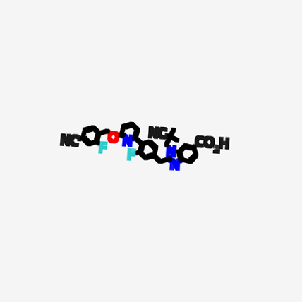 CC(C)(C#N)Cn1c(Cc2ccc(-c3cccc(OCc4ccc(C#N)cc4F)n3)c(F)c2)nc2ccc(C(=O)O)cc21